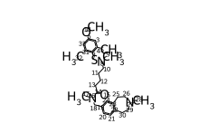 COc1cc(C)c(SN(C)CCCCC(=O)N(C)Cc2ccc3c(c2)CCN(C)CC3)c(C)c1